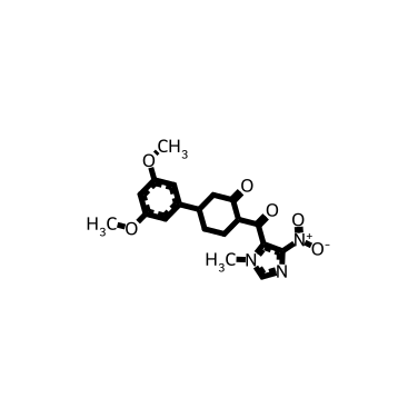 COc1cc(OC)cc(C2CCC(C(=O)c3c([N+](=O)[O-])ncn3C)C(=O)C2)c1